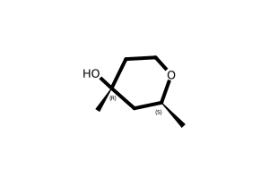 C[C@H]1C[C@](C)(O)CCO1